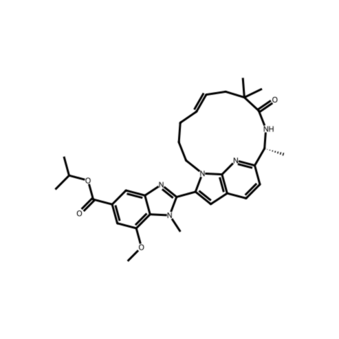 COc1cc(C(=O)OC(C)C)cc2nc(-c3cc4ccc5nc4n3CCC/C=C/CC(C)(C)C(=O)N[C@@H]5C)n(C)c12